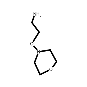 NCCON1CCOCC1